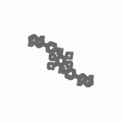 Clc1c2c(c(Cl)c3c1=Nc1ccc(-c4cc5sccc5s4)cc1O3)=Nc1ccc(-c3cc4sccc4s3)cc1O2